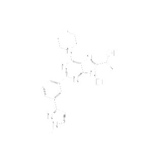 CCn1c([C@H](C)O)nc2c(N3CCOCC3)nc(-c3cccc(-c4ccn(C)n4)c3)nc21